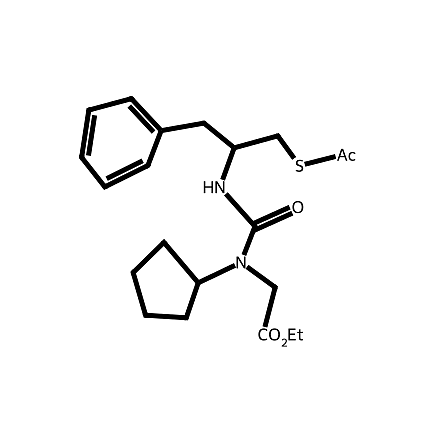 CCOC(=O)CN(C(=O)NC(CSC(C)=O)Cc1ccccc1)C1CCCC1